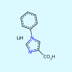 O=C(O)c1cn(-c2ccccc2)cn1.[LiH]